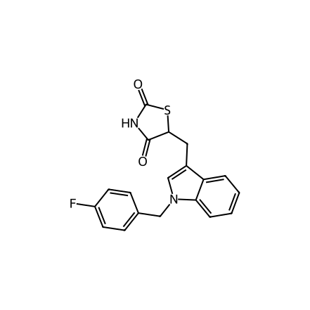 O=C1NC(=O)C(Cc2cn(Cc3ccc(F)cc3)c3ccccc23)S1